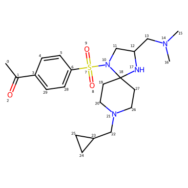 CC(=O)c1ccc(S(=O)(=O)N2CC(CN(C)C)NC23CCN(CC2CC2)CC3)cc1